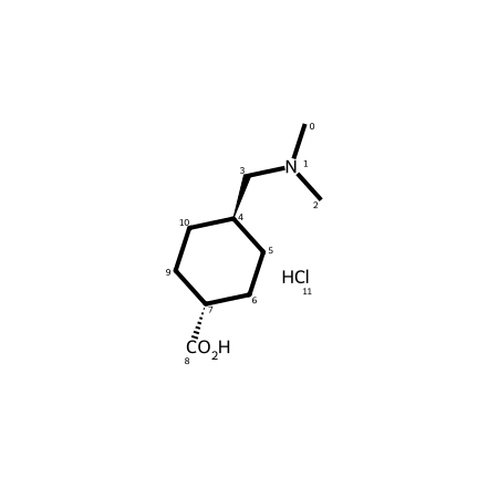 CN(C)C[C@H]1CC[C@H](C(=O)O)CC1.Cl